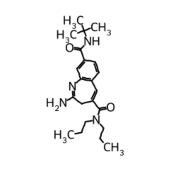 CCCN(CCC)C(=O)C1=Cc2ccc(C(=O)NC(C)(C)C)cc2N=C(N)C1